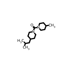 CC(C)CC1CCN(C(=O)N2CCC(C)CC2)CC1